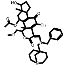 COCC1OC(=O)/C(=C\N(Cc2ccccc2)CC23CCCN(CCC2)C3)C2=C(O)C(=O)C3=C(C(OC(C)=O)CC4(C)C(O)CCC34)C21C